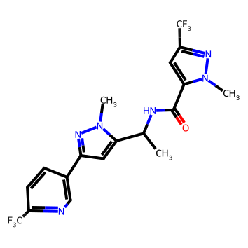 CC(NC(=O)c1cc(C(F)(F)F)nn1C)c1cc(-c2ccc(C(F)(F)F)nc2)nn1C